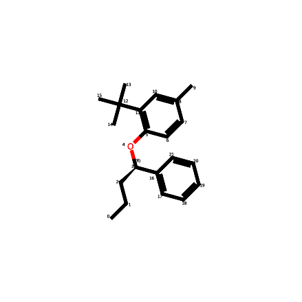 CCC[C@@H](Oc1ccc(C)cc1C(C)(C)C)c1ccccc1